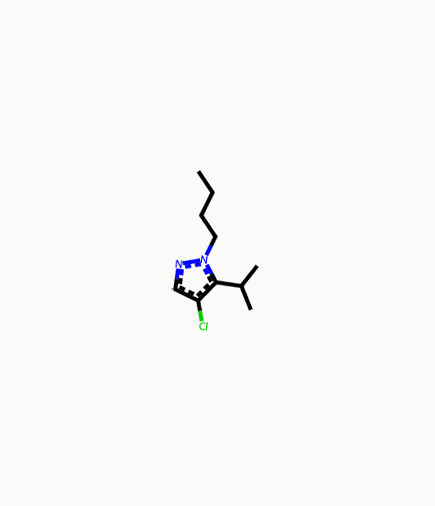 CCCCn1n[c]c(Cl)c1C(C)C